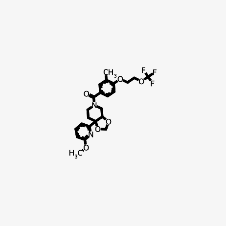 COc1cccc(C23CCN(C(=O)c4ccc(OCCOC(F)(F)F)c(C)c4)CC2OCO3)n1